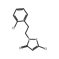 O=c1cc(Cl)sn1CCc1ccccc1Cl